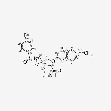 COc1ccc2cc(OCC3(C4CCNC(=O)C4)CN(C(=O)c4ccc(F)cc4)C3)ccc2c1